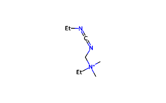 CCN=C=NC[N+](C)(C)CC